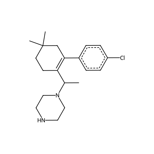 CC(C1=C(c2ccc(Cl)cc2)CC(C)(C)CC1)N1CCNCC1